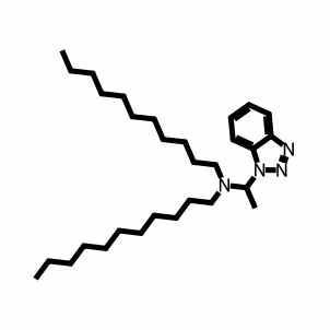 CCCCCCCCCCCN(CCCCCCCCCCC)C(C)n1nnc2ccccc21